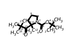 CC(C)(C)OC(=O)N1CCCC1(C)C(=O)C(C)(C)C